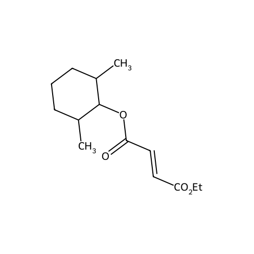 CCOC(=O)C=CC(=O)OC1C(C)CCCC1C